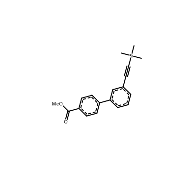 COC(=O)c1ccc(-c2cccc(C#C[Si](C)(C)C)c2)cc1